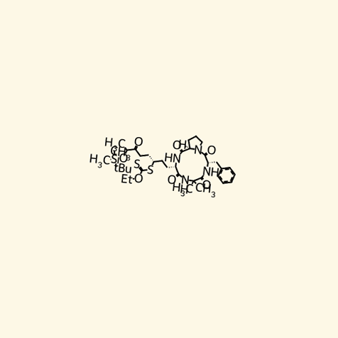 CCOC(=S)S[C@H](CCC(=O)C(C)O[Si](C)(C)C(C)(C)C)CC[C@@H]1NC(=O)[C@H]2CCCN2C(=O)[C@H](Cc2ccccc2)NC(=O)C(C)(C)NC1=O